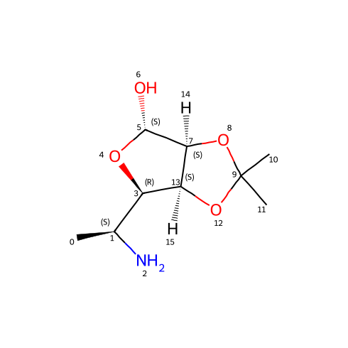 C[C@H](N)[C@H]1O[C@H](O)[C@H]2OC(C)(C)O[C@@H]12